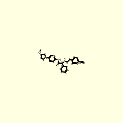 COC1CCN(c2ccc(NC(=O)C(NCCc3ccc(C#N)cc3)C3C=CC=CC3)nc2)C1